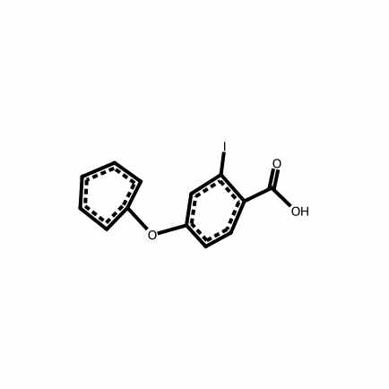 O=C(O)c1ccc(Oc2ccccc2)cc1I